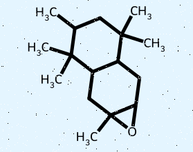 CC1CC(C)(C)C2CC3OC3(C)CC2C1(C)C